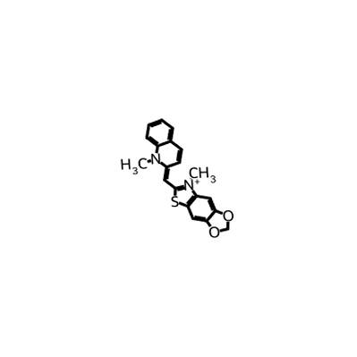 CN1/C(=C/c2sc3cc4c(cc3[n+]2C)OCO4)C=Cc2ccccc21